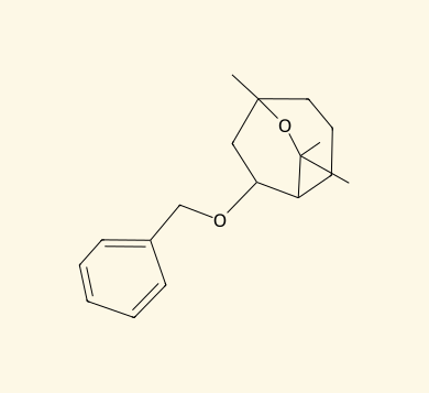 CC12CCCC(C(OCc3ccccc3)C1)C(C)(C)O2